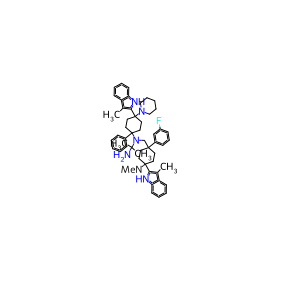 CNC1(c2[nH]c3ccccc3c2C)CCC(CN(C(C)(C)N)C2(c3ccccc3)CCC(c3[nH]c4ccccc4c3C)(N3CCCCC3)CC2)(c2cccc(F)c2)CC1